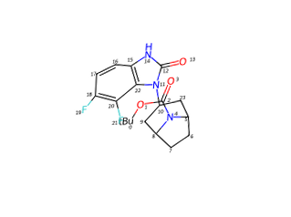 CC(C)(C)OC(=O)N1C2CCC1CC(n1c(=O)[nH]c3ccc(F)c(F)c31)C2